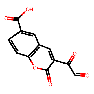 O=CC(=O)c1cc2cc(C(=O)O)ccc2oc1=O